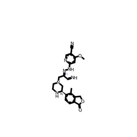 COc1cc(N/N=C(\C=N)CN2CCN[C@H](c3ccc4c(c3C)COC4=O)C2)ncc1C#N